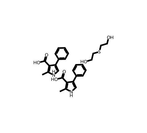 Cc1[nH]cc(-c2ccccc2)c1C(=O)O.Cc1[nH]cc(-c2ccccc2)c1C(=O)O.OCCSCCO